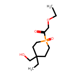 CCOCC(=O)P1(=O)CCC(CC)(CO)CC1